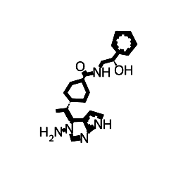 C/C(=C1/c2cc[nH]c2N=CN1N)[C@H]1CC[C@H](C(=O)NC[C@@H](O)c2ccccc2)CC1